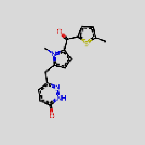 Cc1ccc(C(=O)c2ccc(Cc3ccc(=O)[nH]n3)n2C)s1